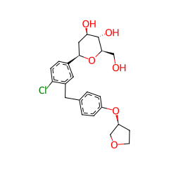 OC[C@H]1O[C@@H](c2ccc(Cl)c(Cc3ccc(O[C@H]4CCOC4)cc3)c2)C[C@@H](O)[C@@H]1O